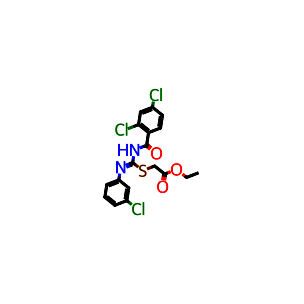 CCOC(=O)CSC(=Nc1cccc(Cl)c1)NC(=O)c1ccc(Cl)cc1Cl